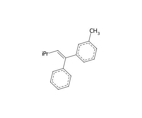 Cc1cccc(C(=CC(C)C)c2ccccc2)c1